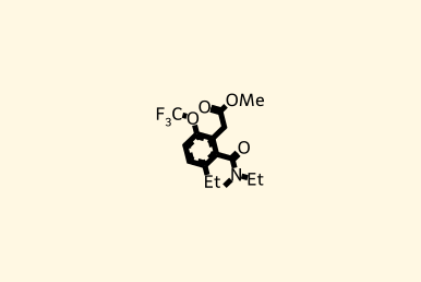 CCc1ccc(OC(F)(F)F)c(CC(=O)OC)c1C(=O)N(C)CC